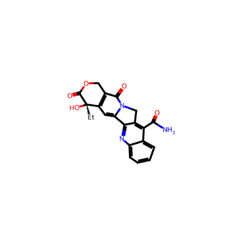 CC[C@@]1(O)C(=O)OCc2c1cc1n(c2=O)Cc2c-1nc1ccccc1c2C(N)=O